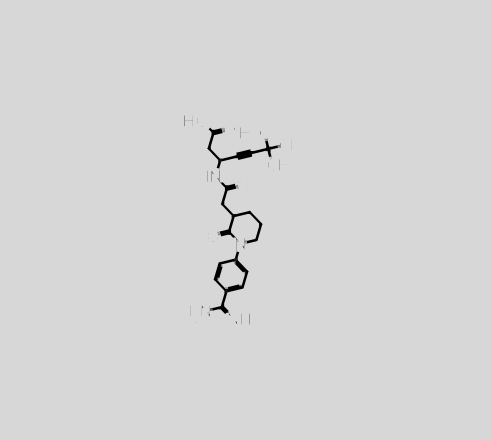 CC(C)(C)C#CC(CC(=O)O)NC(=O)CC1CCCN(c2ccc(C(=N)N)cc2)C1=O